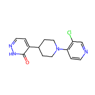 O=c1[nH]nccc1C1CCN(c2ccncc2Cl)CC1